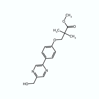 COC(=O)C(C)(C)COc1ccc(-c2cnc(CO)cn2)cc1